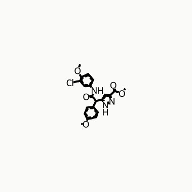 COC(=O)c1cc(C(C(=O)Nc2ccc(OC)c(Cl)c2)c2ccc(OC)cc2)[nH]n1